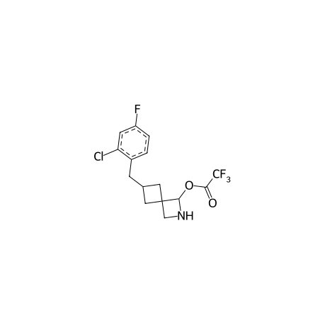 O=C(OC1NCC12CC(Cc1ccc(F)cc1Cl)C2)C(F)(F)F